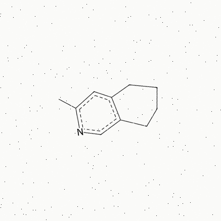 Cc1cc2c(cn1)CCCC2